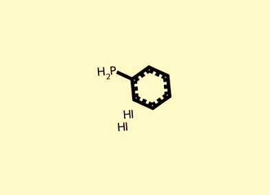 I.I.Pc1ccccc1